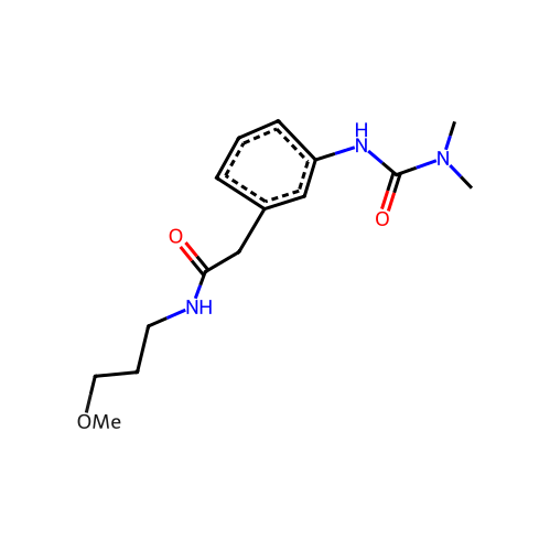 COCCCNC(=O)Cc1cccc(NC(=O)N(C)C)c1